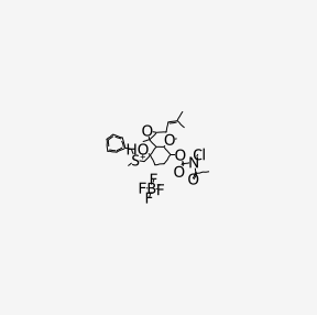 COC1C(OC(=O)N(Cl)C(C)=O)CCC(O)(C[S+](C)Cc2ccccc2)C1C1(C)OC1CC=C(C)C.F[B-](F)(F)F